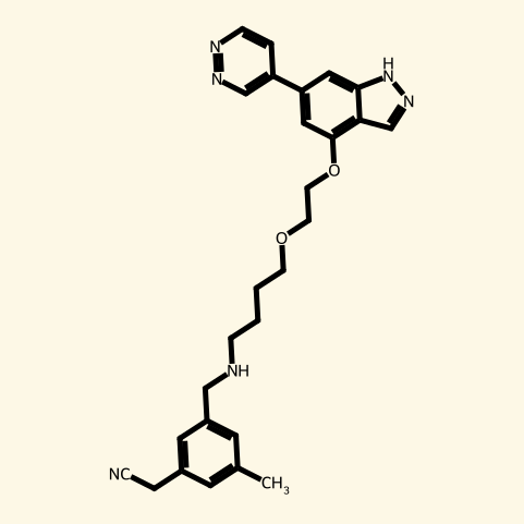 Cc1cc(CC#N)cc(CNCCCCOCCOc2cc(-c3ccnnc3)cc3[nH]ncc23)c1